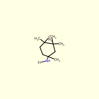 CCNC1(C)CCC(C)(C)C(C)(C)C1